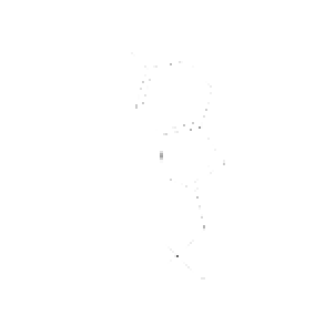 Cc1ccc2nc(CC(F)(F)F)oc2c1